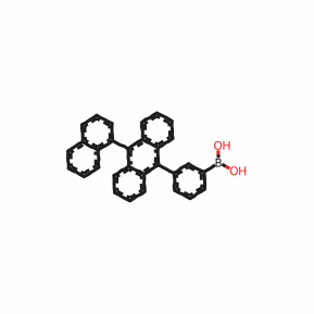 OB(O)c1cccc(-c2c3ccccc3c(-c3cccc4ccccc34)c3ccccc23)c1